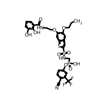 CCCOc1cc2cc(S(=O)(=O)NCP(=O)(O)Oc3ccc(C#N)c(C(F)(F)F)c3)sc2cc1OCCNC(=O)c1cccc(O)c1O